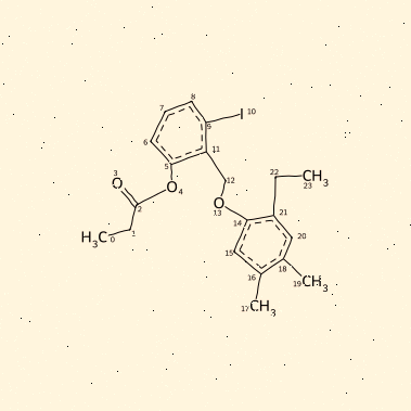 CCC(=O)Oc1cccc(I)c1COc1cc(C)c(C)cc1CC